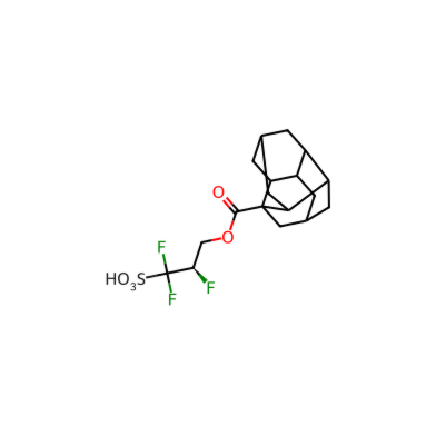 O=C(OC[C@@H](F)C(F)(F)S(=O)(=O)O)C12CC3CC4C5CC(CC41)CC2C5C3